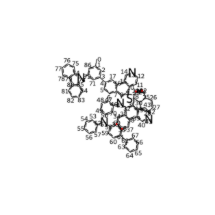 Cc1cc(-c2ccc3c4c(c5ccncc5c3c2)[Si]2(c3ccccc3C3C=CC=CC32)c2c(c3ccccc3c3cnccc23)N4c2cccc(N(c3ccccc3)c3ccc(-c4ccccc4)cc3)c2)cc(-n2c3ccccc3c3ccccc32)c1